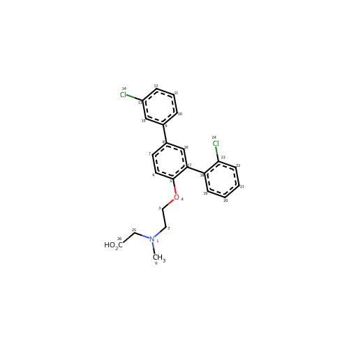 CN(CCOc1ccc(-c2cccc(Cl)c2)cc1-c1ccccc1Cl)CC(=O)O